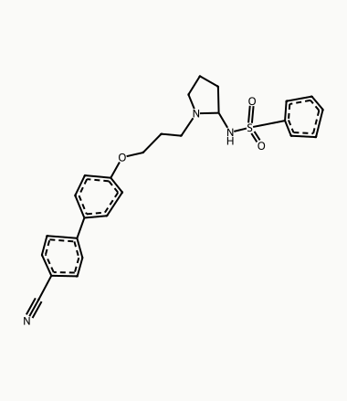 N#Cc1ccc(-c2ccc(OCCCN3CCCC3NS(=O)(=O)c3ccccc3)cc2)cc1